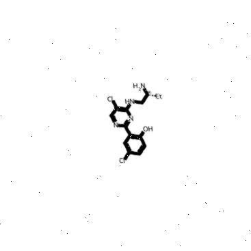 CC[C@@H](N)CNc1nc(-c2cc(Cl)ccc2O)ncc1Cl